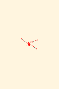 CCCCCCCCCCCCCc1c(CCCCCCCCCCCCC)c(C(=O)O)c(C(=O)O)c(CCCCCCCCCCCCC)c1C(=O)O